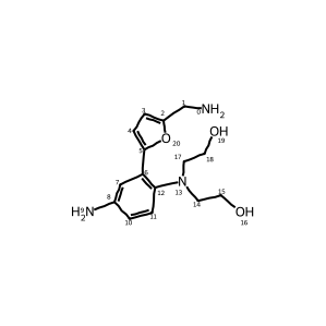 NCc1ccc(-c2cc(N)ccc2N(CCO)CCO)o1